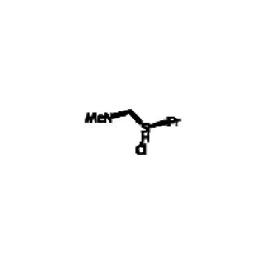 CNC[SiH](Cl)C(C)C